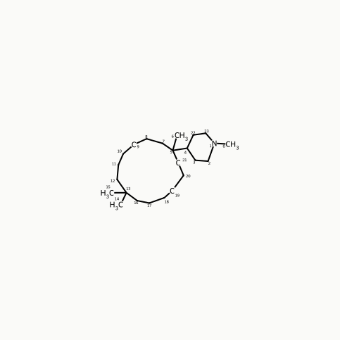 CN1CCC(C2(C)CCCCCCC(C)(C)CCCCCC2)CC1